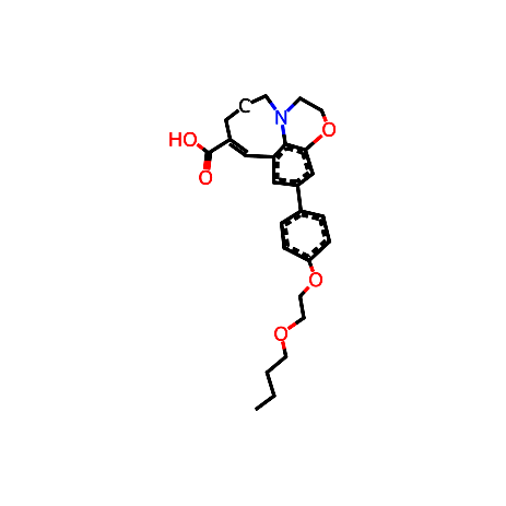 CCCCOCCOc1ccc(-c2cc3c4c(c2)OCCN4CCCC(C(=O)O)=C3)cc1